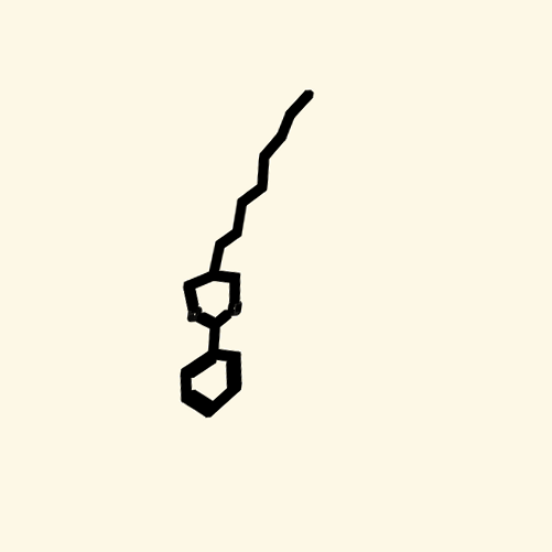 CCCCCCCCC1COC(c2cc[c]cc2)OC1